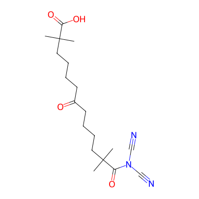 CC(C)(CCCCC(=O)CCCCC(C)(C)C(=O)N(C#N)C#N)C(=O)O